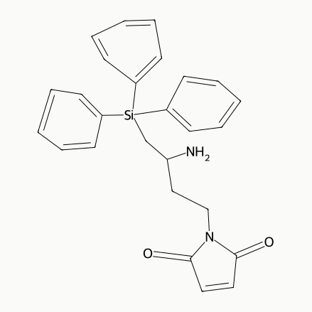 NC(CCN1C(=O)C=CC1=O)C[Si](c1ccccc1)(c1ccccc1)c1ccccc1